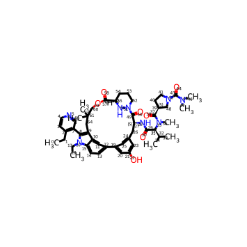 CCc1ccncc1-c1c2c3cc(ccc3n1CC)-c1cc(O)cc(c1)C[C@H](NC(=O)[C@H](C(C)C)N(C)C(=O)[C@H]1CCN(C(=O)N(C)C)C1)C(=O)N1CCC[C@H](N1)C(=O)OCC(C)(C)C2